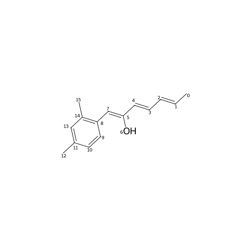 CC=CC=CC(O)=Cc1ccc(C)cc1C